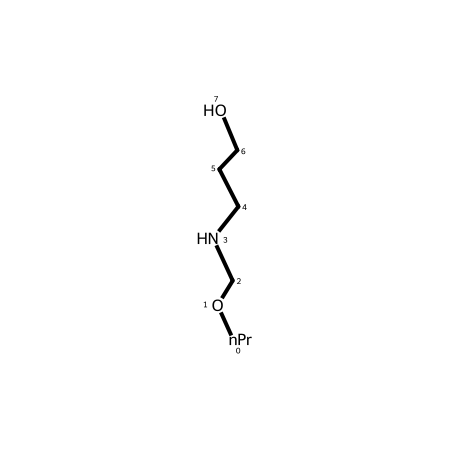 CCCOCNCCCO